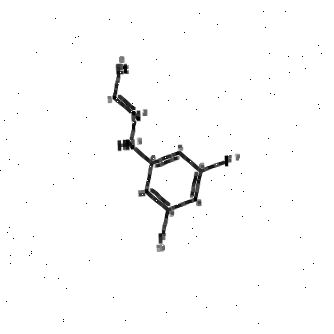 CCC=NNc1cc(F)cc(F)c1